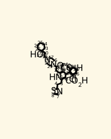 O=C(O)C1=C(CCc2nccs2)NC(CC(=O)N2CCN(CCC3(O)CCCCC3)CC2)=C(C(=O)O)C1c1c(Cl)cccc1Cl